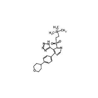 C[Si](C)(C)CCS(=O)(=O)c1nccc(-c2ccc(C3CCOCC3)cc2)c1-c1nnn[nH]1